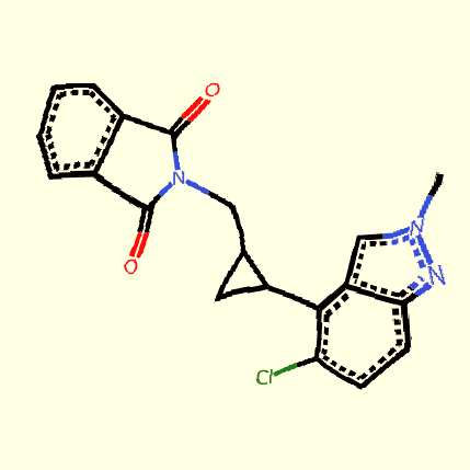 Cn1cc2c(C3CC3CN3C(=O)c4ccccc4C3=O)c(Cl)ccc2n1